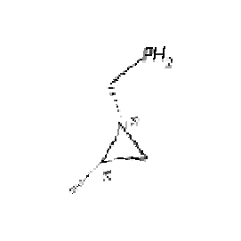 C[C@H]1C[N@@]1CP